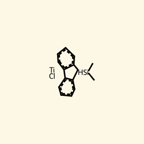 C[SiH](C)C1c2ccccc2-c2ccccc21.[Cl][Ti]